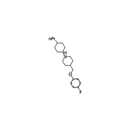 CCCC1CCC([SiH]2CCC(COc3ccc(F)cc3)CC2)CC1